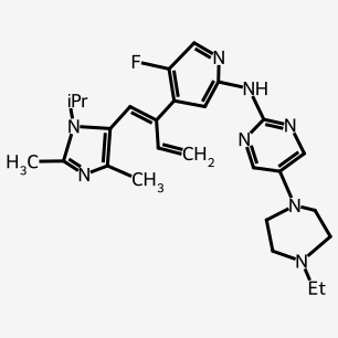 C=C/C(=C\c1c(C)nc(C)n1C(C)C)c1cc(Nc2ncc(N3CCN(CC)CC3)cn2)ncc1F